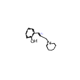 Oc1ccccc1/C=C/CN1CCCCC1